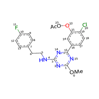 COc1nc(NCCc2ccc(F)cc2)nc(-c2ccc(Cl)c(OOC(C)=O)c2)n1